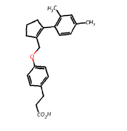 Cc1ccc(C2=C(COc3ccc(CCC(=O)O)cc3)CCC2)c(C)c1